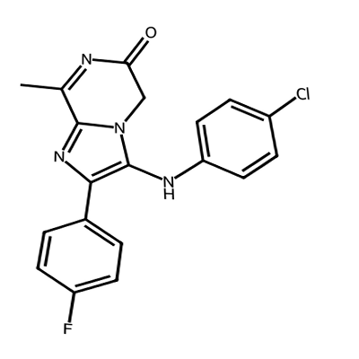 CC1=NC(=O)Cn2c1nc(-c1ccc(F)cc1)c2Nc1ccc(Cl)cc1